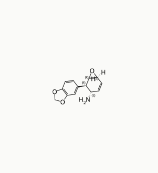 N[C@H]1C=C[C@@H]2O[C@@H]2[C@@H]1c1ccc2c(c1)OCO2